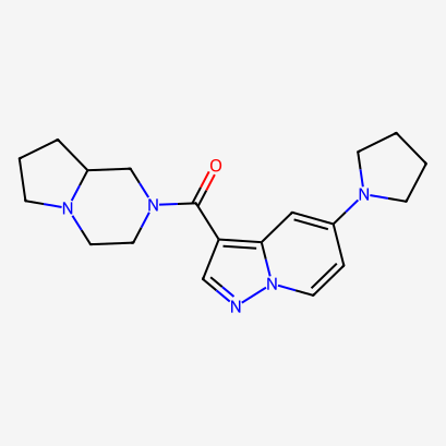 O=C(c1cnn2ccc(N3CCCC3)cc12)N1CCN2CCCC2C1